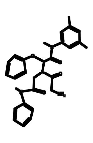 Cc1cc(C)cc(N(C)C(=O)C(Oc2ccccc2)N(CC(=O)N(C)c2ccccc2)C(=O)CN)c1